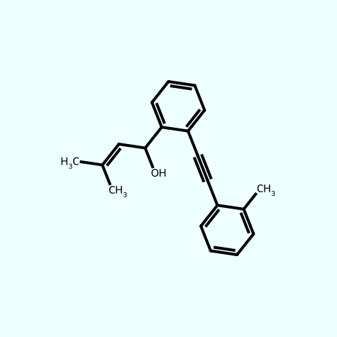 CC(C)=CC(O)c1ccccc1C#Cc1ccccc1C